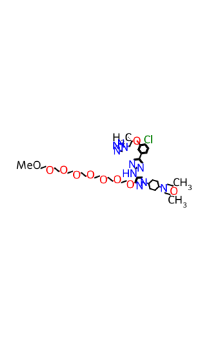 COCCOCCOCCOCCOCCOCCOCCOc1nn(C2CCC(N3C[C@@H](C)O[C@@H](C)C3)CC2)cc1Nc1ncc(-c2ccc(Cl)c(O[C@@H](C)Cn3cnnn3)c2)cn1